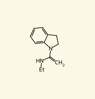 C=C(NCC)N1CCc2ccccc21